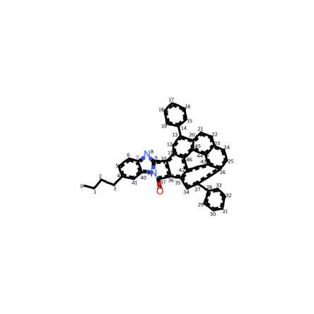 CCCCc1ccc2nc3c4c5cc(-c6ccccc6)c6ccc7ccc8c(-c9ccccc9)cc(c4c(=O)n3c2c1)c1c8c7c6c51